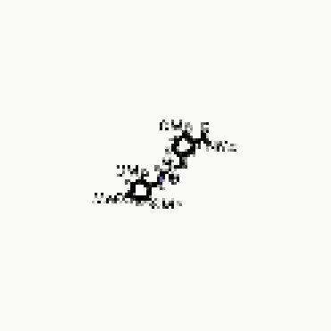 CNC(=O)c1cc(CS(=O)(=O)/C=C/c2c(OC)cc(OC)cc2OC)ccc1OC